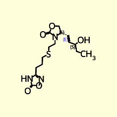 CC[C@H](O)/C=C/[C@H]1COC(=O)N1CCSCCCc1noc(=O)[nH]1